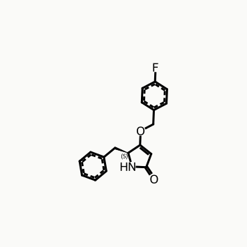 O=C1C=C(OCc2ccc(F)cc2)[C@H](Cc2ccccc2)N1